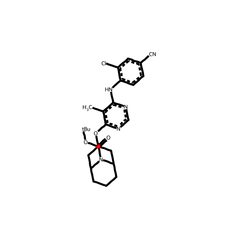 Cc1c(Nc2ccc(C#N)cc2Cl)ncnc1OC1CC2CCCC(C1)N2C(=O)OC(C)(C)C